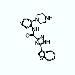 O=C(Nc1cnccc1N1CCNCC1)c1n[nH]c(-c2csc3ccccc23)n1